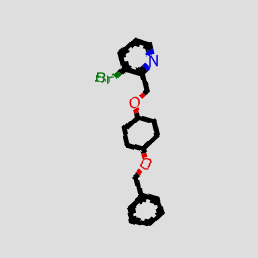 Brc1cccnc1COC1CCC(OCc2ccccc2)CC1